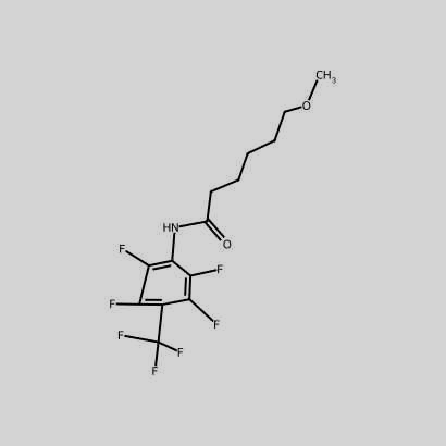 COCCCCCC(=O)Nc1c(F)c(F)c(C(F)(F)F)c(F)c1F